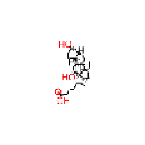 CC(CCCCC(=O)O)[C@H]1CC[C@H]2[C@@H]3CC[C@@H]4C[C@H](O)CC[C@]4(C)[C@H]3C[C@H](O)[C@]12C